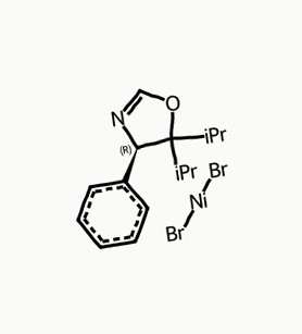 CC(C)C1(C(C)C)OC=N[C@@H]1c1ccccc1.[Br][Ni][Br]